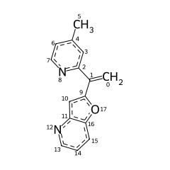 C=C(c1cc(C)ccn1)c1cc2ncccc2o1